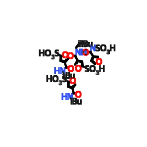 CC(C)(C)NC(=O)c1coc(S(=O)(=O)O)c1.CC(C)CNC(=O)c1coc(S(=O)(=O)O)c1.CCC(C)NC(=O)c1coc(S(=O)(=O)O)c1.CCCCN(C(=O)c1ccoc1)S(=O)(=O)O